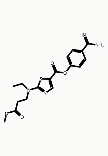 CCN(CCC(=O)OC)c1ncc(C(=O)Oc2ccc(C(=N)N)cc2)s1